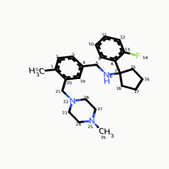 Cc1ccc(CNC2(c3ccccc3F)CCCC2)cc1CN1CCN(C)CC1